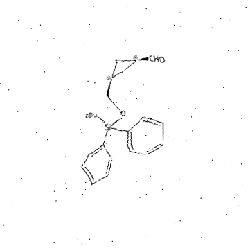 CC(C)(C)[Si](OC[C@H]1C[C@H]1C=O)(c1ccccc1)c1ccccc1